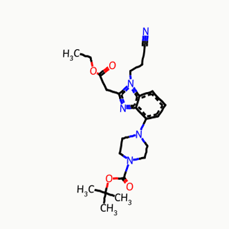 CCOC(=O)Cc1nc2c(N3CCN(C(=O)OC(C)(C)C)CC3)cccc2n1CCC#N